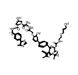 Cc1ncsc1-c1ccc([C@H](C)NC(=O)[C@@H]2C[C@@H](O)CN2C(=O)[C@@H](NC(=O)COc2ccc(-c3ccc(C4=N[C@@H](CC(=O)NCCOCCCO)c5nnc(C)n5-c5sc(C)c(C)c54)cc3)cc2C#N)C(C)(C)C)cc1